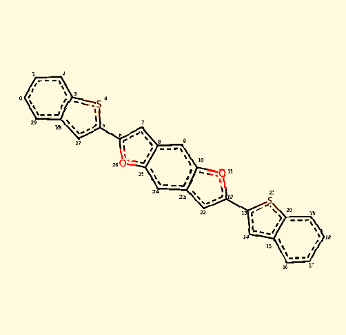 c1ccc2sc(-c3cc4cc5oc(-c6cc7ccccc7s6)cc5cc4o3)cc2c1